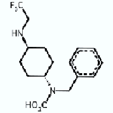 O=C(O)N(Cc1ccccc1)[C@H]1CC[C@H](NCC(F)(F)F)CC1